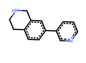 c1cncc(-c2ccc3c(c2)CNCC3)c1